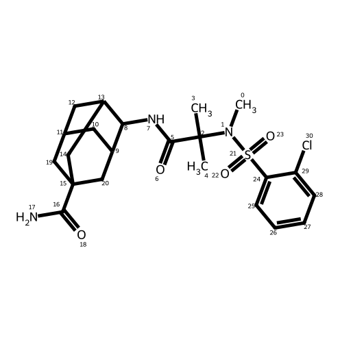 CN(C(C)(C)C(=O)NC1C2CC3CC1CC(C(N)=O)(C3)C2)S(=O)(=O)c1ccccc1Cl